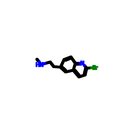 CNCCc1ccc2nc(Br)ccc2c1